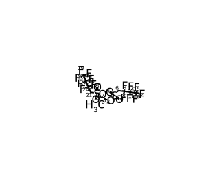 CC(OS(=O)(=O)CC(F)(F)C(F)(F)C(F)(F)F)OS(=O)(=O)CC(F)(F)C(F)(F)C(F)(F)F